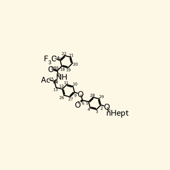 CCCCCCCOc1ccc(C(=O)Oc2ccc(C[C@H](NC(=O)c3ccccc3C(F)(F)F)C(C)=O)cc2)cc1